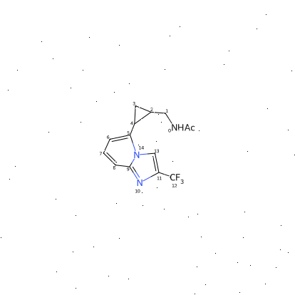 CC(=O)NCC1CC1c1cccc2nc(C(F)(F)F)cn12